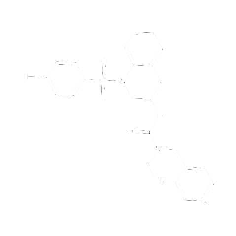 CCN(Cc1ccncc1)C(=O)OC1Cc2ccccc2N(S(=O)(=O)c2ccc(Cl)cc2)C1